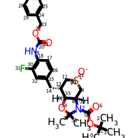 CC(C)(C)OC(=O)N1[C@H]2C[S@@+]([O-])C[C@@H](Cc3ccc(NC(=O)OCc4ccccc4)c(F)c3)[C@@H]2OC1(C)C